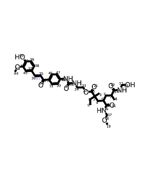 CCC(C)(CC(CC(C)C(=O)NCO)C(=O)NCOC)C(=O)OCCNC(=O)Nc1ccc(C(=O)/C=C/c2ccc(O)c(OC)c2)cc1